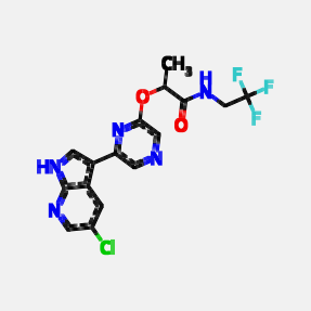 CC(Oc1cncc(-c2c[nH]c3ncc(Cl)cc23)n1)C(=O)NCC(F)(F)F